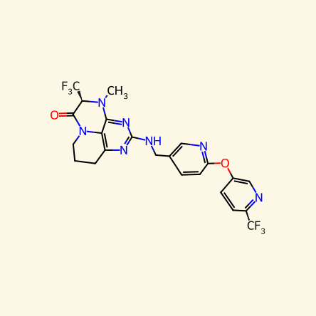 CN1c2nc(NCc3ccc(Oc4ccc(C(F)(F)F)nc4)nc3)nc3c2N(CCC3)C(=O)[C@H]1C(F)(F)F